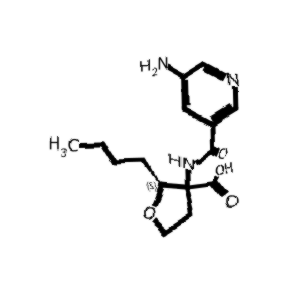 CCCC[C@@H]1OCCC1(NC(=O)c1cncc(N)c1)C(=O)O